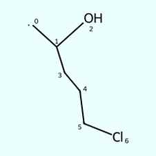 [CH2]C(O)CCCCl